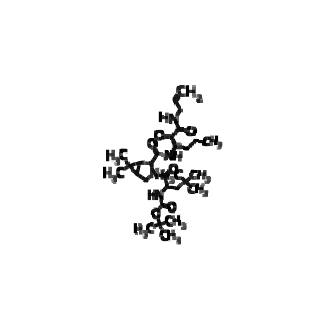 C=CCNC(=O)C(=O)[C@@H](CCC)NC(=O)C1C2C(CN1C(=O)C(CC(C)(C)C)NC(=O)OC(C)(C)C)C2(C)C